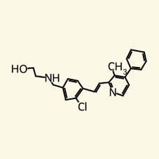 Cc1c(-c2ccccc2)ccnc1/C=C/c1ccc(CNCCO)cc1Cl